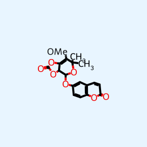 COC1=C2OC(=O)OC2C(Oc2ccc3oc(=O)ccc3c2)OC1(C)C